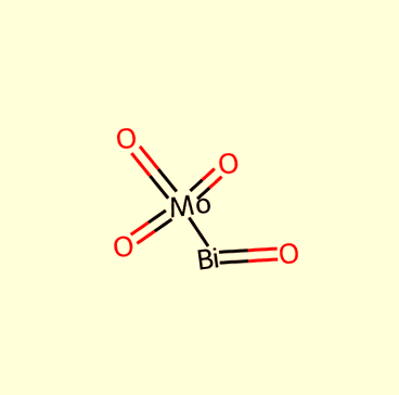 [O]=[Bi][Mo](=[O])(=[O])=[O]